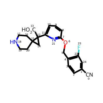 N#Cc1ccc(COc2cccc(C3(C(=O)O)CC34CCNCC4)n2)c(F)c1